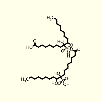 CCCCCCCCC(O)C(O)(CCCCCCCC(=O)OOC(CCCCCCCC)C(O)(CCCCCCCC(=O)O)S(=O)(=O)O)S(=O)(=O)O